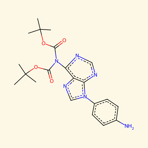 CC(C)(C)OC(=O)N(C(=O)OC(C)(C)C)c1ncnc2c1ncn2-c1ccc(N)cc1